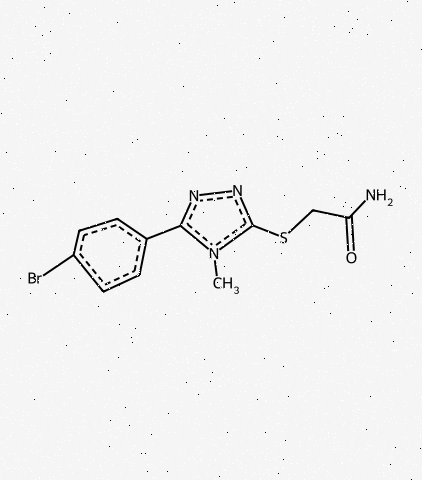 Cn1c(SCC(N)=O)nnc1-c1ccc(Br)cc1